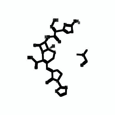 CN(C)C=O.Nc1nc(C(=NO)C(=O)N[C@@H]2C(=O)N3C(C(=O)O)=C(C=C4CCN(c5nccs5)C4=O)CS[C@H]23)cs1